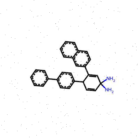 NC1(N)C=CC(c2ccc(-c3ccccc3)cc2)C(c2ccc3ccccc3c2)=C1